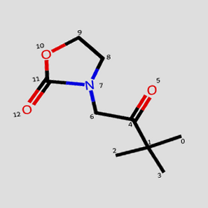 CC(C)(C)C(=O)CN1CCOC1=O